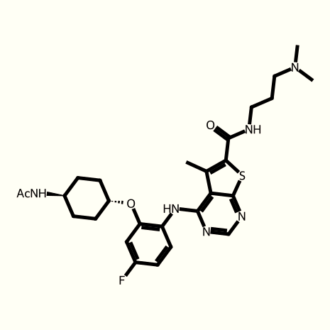 CC(=O)N[C@H]1CC[C@H](Oc2cc(F)ccc2Nc2ncnc3sc(C(=O)NCCCN(C)C)c(C)c23)CC1